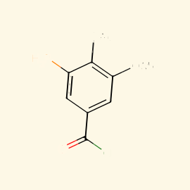 COc1cc(C(=O)Cl)cc(P)c1OC(C)=O